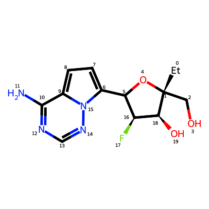 CC[C@]1(CO)OC(c2ccc3c(N)ncnn23)[C@H](F)[C@@H]1O